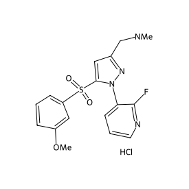 CNCc1cc(S(=O)(=O)c2cccc(OC)c2)n(-c2cccnc2F)n1.Cl